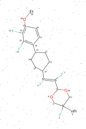 CCCC1(F)COC(/C(F)=C(\F)C2CCC(c3ccc(OCC)c(F)c3F)CC2)OC1